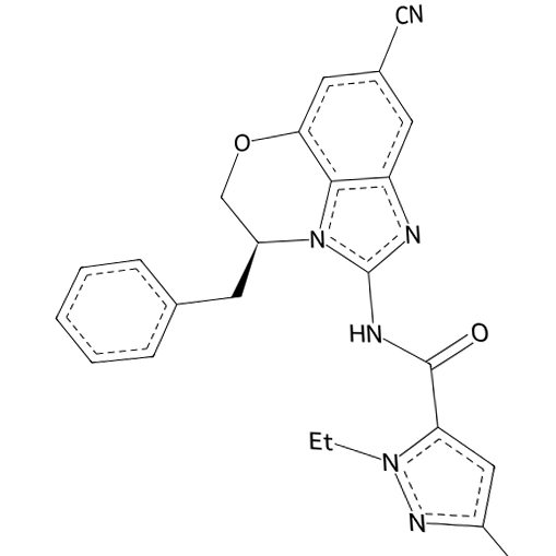 CCn1nc(C)cc1C(=O)Nc1nc2cc(C#N)cc3c2n1[C@@H](Cc1ccccc1)CO3